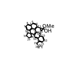 COC1(O)C2c3ccc4cccc5c4c3-c3c(cc4c(CC(C)C)cccc4[n+]3C21)C51CCCC1